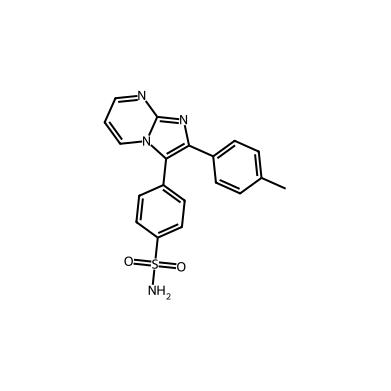 Cc1ccc(-c2nc3ncccn3c2-c2ccc(S(N)(=O)=O)cc2)cc1